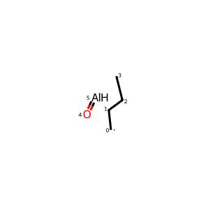 [CH2]CCC.[O]=[AlH]